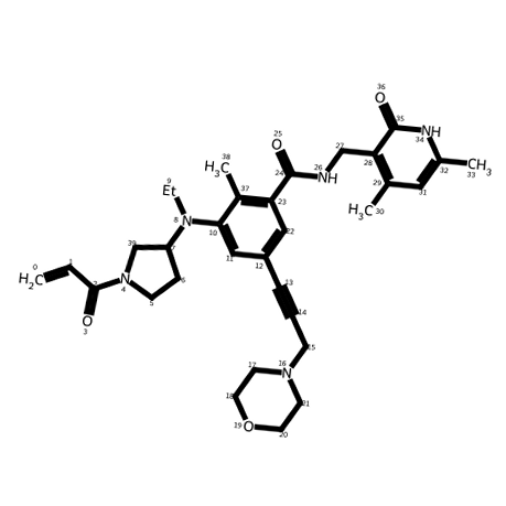 C=CC(=O)N1CCC(N(CC)c2cc(C#CCN3CCOCC3)cc(C(=O)NCc3c(C)cc(C)[nH]c3=O)c2C)C1